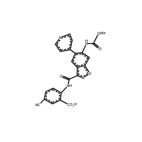 COC(=O)Nc1cc2onc(C(=O)Nc3ccc(C#N)cc3C(=O)O)c2cc1-c1ccncc1